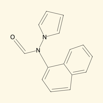 O=CN(c1cccc2ccccc12)n1cccc1